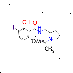 COc1ccc(I)c(O)c1C(=O)NCC1CCCN1C(C)I